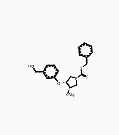 CO[C@@H]1CN(C(=O)OCc2ccccc2)C[C@H]1Oc1cccc(CO)c1